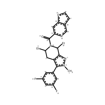 CCC1Cc2c(nn(C)c2-c2cc(F)cc(F)c2)C(CC)N1C(=O)c1cc2occc2cn1